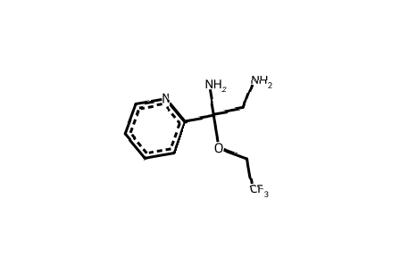 NCC(N)(OCC(F)(F)F)c1ccccn1